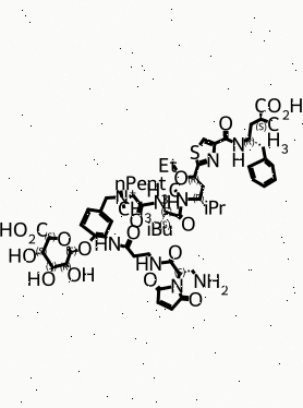 CCCCC[N+](C)(CC(=O)N[C@H](C(=O)N(C)[C@H](C[C@@H](OCC)c1nc(C(=O)N[C@@H](Cc2ccccc2)C[C@H](C)C(=O)O)cs1)C(C)C)[C@@H](C)CC)Cc1ccc(O[C@@H]2O[C@H](C(=O)O)[C@@H](O)[C@H](O)[C@H]2O)c(NC(=O)CCNC(=O)[C@H](CN)N2C(=O)C=CC2=O)c1